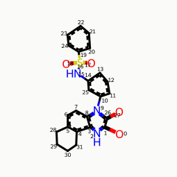 O=c1[nH]c2c3c(ccc2n(-c2cccc(NS(=O)(=O)c4ccccc4)c2)c1=O)CCCC3